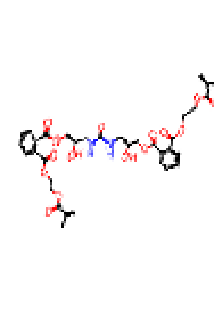 C=C(C)C(=O)OCCOC(=O)c1ccccc1C(=O)OCC(O)CNC(=O)NCC(O)COC(=O)c1ccccc1C(=O)OCCOC(=O)C(=C)C